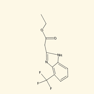 CCOC(=O)Cc1nc2c(C(F)(F)F)cccc2[nH]1